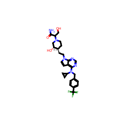 NC(=O)C(CO)N1CC[C@@H](CCn2ccc3c(N(Cc4ccc(C(F)(F)F)cc4)C4CC4)ncnc32)[C@H](O)C1